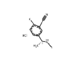 C[C@@H](NI)c1ccc(F)c(C#N)c1.Cl